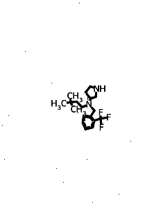 CC(C)(C)CCN(Cc1ccccc1C(F)(F)F)[C@H]1CCNC1